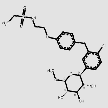 CCS(=O)(=O)NCCOc1ccc(Cc2cc([C@@H]3O[C@H](OC)[C@@H](O)[C@H](O)[C@H]3O)ccc2Cl)cc1